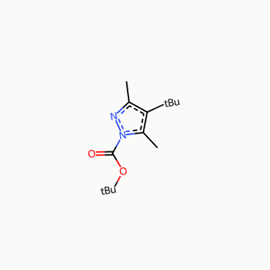 Cc1nn(C(=O)OC(C)(C)C)c(C)c1C(C)(C)C